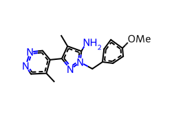 COc1ccc(Cn2nc(-c3cnncc3C)c(C)c2N)cc1